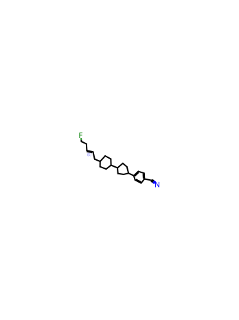 N#Cc1ccc(C2CCC(C3CCC(C/C=C/CCF)CC3)CC2)cc1